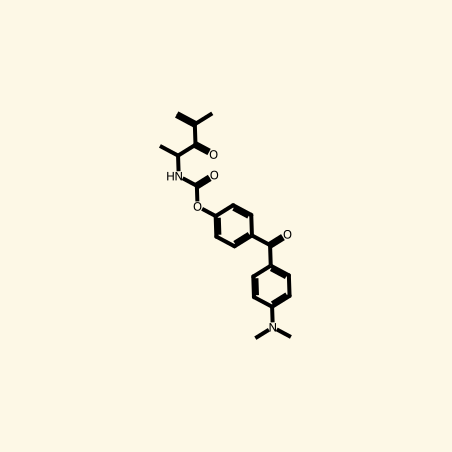 C=C(C)C(=O)C(C)NC(=O)Oc1ccc(C(=O)c2ccc(N(C)C)cc2)cc1